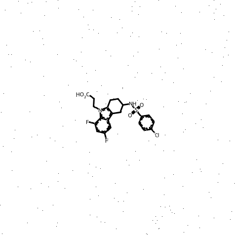 O=C(O)CCn1c2c(c3cc(F)cc(F)c31)CC(NS(=O)(=O)c1ccc(Cl)cc1)CC2